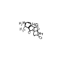 Cc1c(N)ccc2c1C(=O)N(C1CCC(=O)NC1=O)C2=O.Cl